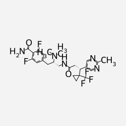 Cc1ncc([C@@H](CC(=O)NC[C@H](Cc2cc(F)c(C(N)=O)c(F)c2)N(C)C)C2(C(F)(F)F)CC2)cn1